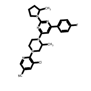 CC1CN(c2ncc(C#N)cc2Cl)CCN1c1cc(-c2ccc(F)cc2)nc(N2CCCC2C)n1